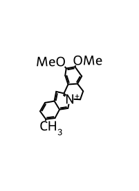 COc1cc2c(cc1OC)-c1cc3ccc(C)cc3c[n+]1CC2